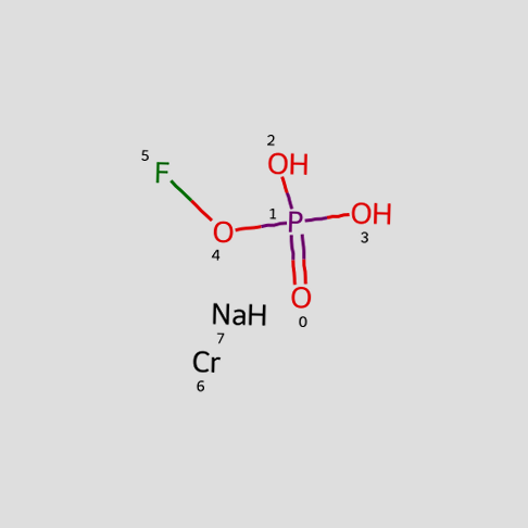 O=P(O)(O)OF.[Cr].[NaH]